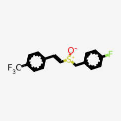 [O-][S+](/C=C/c1ccc(C(F)(F)F)cc1)Cc1ccc(F)cc1